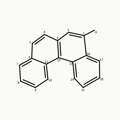 Cc1cc2ccc3ccccc3c2c2ccccc12